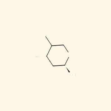 CC1[C@H](C)O[C@@H](O)C[C@@H]1C